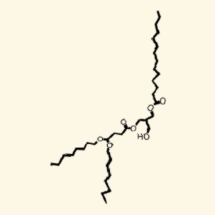 CCCCCCCCCCCCCC(=O)OCC(CO)COC(=O)CCC(OCCCCCCCC)OCCCCCCCC